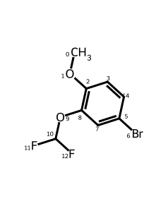 COc1c[c]c(Br)cc1OC(F)F